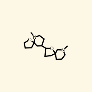 CN1CCCC2(CCC(C3CCN(C)C4(CCCO4)C3)O2)C1